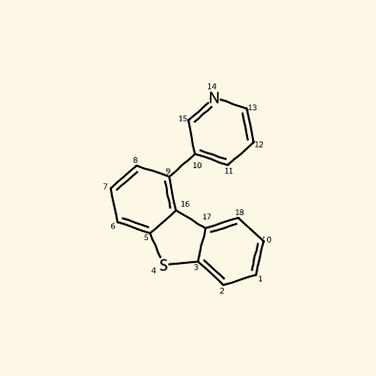 [c]1ccc2sc3cccc(-c4cccnc4)c3c2c1